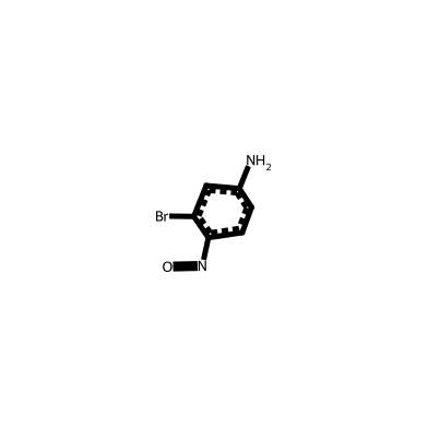 Nc1ccc(N=O)c(Br)c1